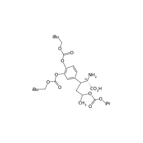 CCC(C)COC(=O)Oc1ccc(C(CC(C)OC(=O)OC(C)C)[C@H](N)C(=O)O)cc1OC(=O)OCC(C)CC